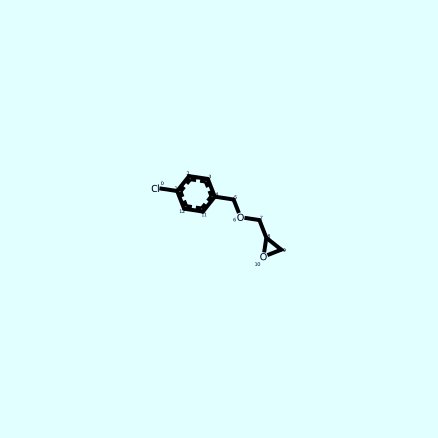 Clc1ccc(COCC2CO2)cc1